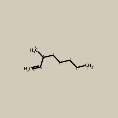 [CH2]CCCCC(C)C=C